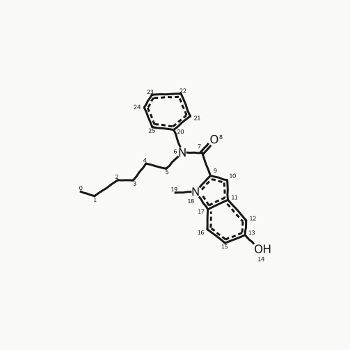 CCCCCCN(C(=O)c1cc2cc(O)ccc2n1C)c1ccccc1